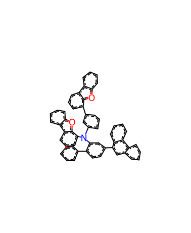 c1ccc(-c2ccc(-c3cc4ccccc4c4ccccc34)cc2N(c2cccc(-c3cccc4c3oc3ccccc34)c2)c2cccc3c2oc2ccccc23)cc1